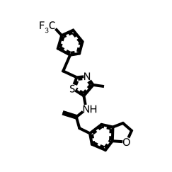 C=C(Cc1ccc2c(c1)CCO2)Nc1sc(Cc2cccc(C(F)(F)F)c2)nc1C